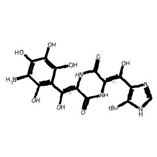 Bc1c(O)c(O)c(O)c(/C(O)=c2\[nH]c(=O)/c(=C(\O)c3nc[nH]c3C(C)(C)C)[nH]c2=O)c1O